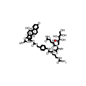 CCCC1O[C@@H]2C[C@H]3[C@@H]4CCC5=CC(=O)C=C[C@]5(C)[C@H]4[C@@H](O)C[C@]3(C)[C@]2(C(=O)COC(=O)OCc2ccc(NC(=O)[C@H](CCCNC(N)=O)NC(=O)[C@H](C(C)C)N(C[C@H](O)[C@@H](O)[C@H](O)[C@H](O)CO)C(=O)[C@H](N)CCC(N)=O)cc2)O1